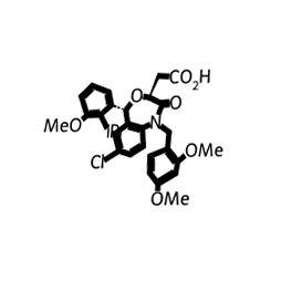 COc1ccc(CN2C(=O)[C@H](CC(=O)O)O[C@@H](c3cccc(OC)c3C(C)C)c3cc(Cl)ccc32)c(OC)c1